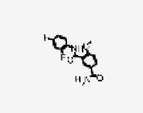 COc1ccc(C(N)=O)cc1C(=O)Nc1ccc(F)cc1F